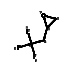 FC(F)(F)CC1CO1